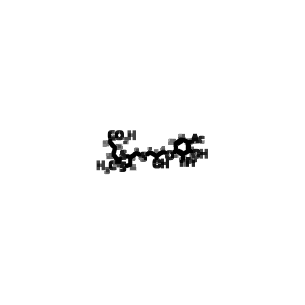 CCCc1c(OCC(O)CSCC2CSC(C)(CCCC(=O)O)S2)ccc(C(C)=O)c1O